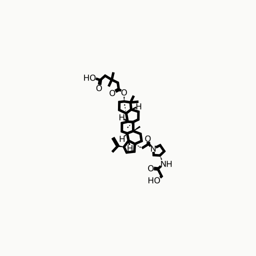 C=C(C)[C@@H]1CC[C@]2(CC(=O)N3CC[C@H](NC(=O)CO)C3)CC[C@]3(C)[C@H](CC[C@@H]4[C@@]5(C)CC[C@H](OC(=O)CC(C)(C)CC(=O)O)C(C)(C)[C@@H]5CC[C@]43C)[C@@H]12